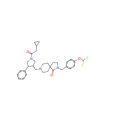 O=C(CC1CC1)N1CC(CN2CCC3(CC2)CCN(Cc2ccc(OC(F)F)cc2)C3=O)C(c2ccccc2)C1